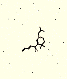 C=CC=CC(=O)C1=CN(CC(C)C)CCC1(C)C